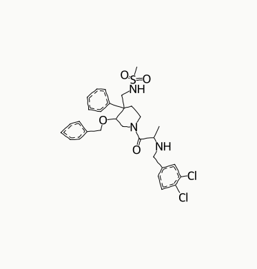 CC(NCc1ccc(Cl)c(Cl)c1)C(=O)N1CCC(CNS(C)(=O)=O)(c2ccccc2)C(OCc2ccccc2)C1